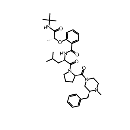 CC(C)C[C@@H](NC(=O)c1ccccc1O[C@H](C)C(=O)NC(C)(C)C)C(=O)N1CCC[C@@H]1C(=O)N1CCN(C)[C@@H](Cc2ccccc2)C1